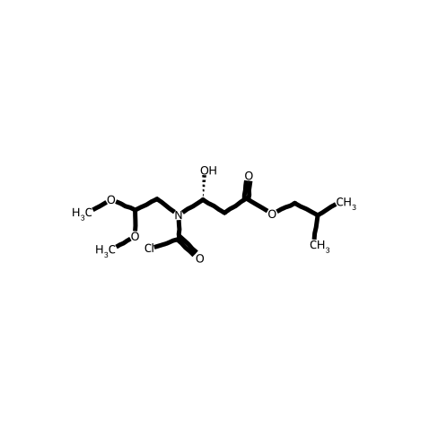 COC(CN(C(=O)Cl)[C@H](O)CC(=O)OCC(C)C)OC